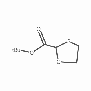 CC(C)(C)OC(=O)C1OCCS1